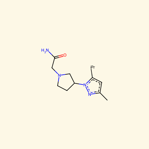 Cc1cc(C(C)C)n(C2CCN(CC(N)=O)C2)n1